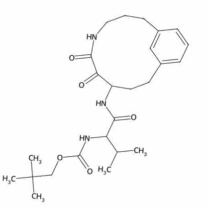 CC(C)C(NC(=O)OCC(C)(C)C)C(=O)NC1CCc2cccc(c2)CCCNC(=O)C1=O